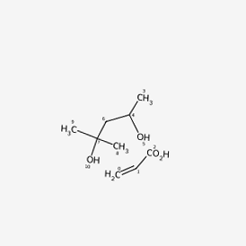 C=CC(=O)O.CC(O)CC(C)(C)O